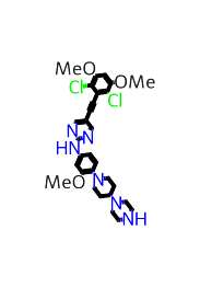 COc1cc(Nc2ncc(C#Cc3c(Cl)c(OC)cc(OC)c3Cl)cn2)ccc1N1CCC(N2CCNCC2)CC1